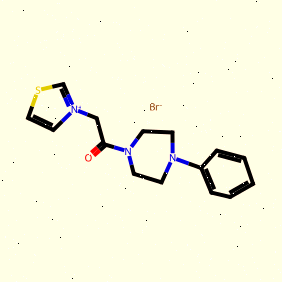 O=C(C[n+]1ccsc1)N1CCN(c2ccccc2)CC1.[Br-]